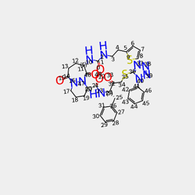 O=C(NCCc1cccs1)N[C@H]1CCC(=O)N2CCC[C@@H](C(=O)N[C@@H](Cc3ccccc3)C(=O)CSc3nnnn3-c3ccccc3)N2C1=O